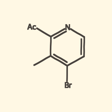 CC(=O)c1nccc(Br)c1C